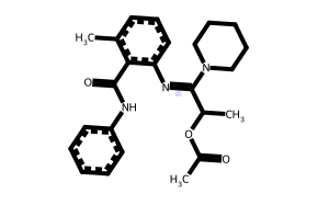 CC(=O)OC(C)/C(=N/c1cccc(C)c1C(=O)Nc1ccccc1)N1CCCCC1